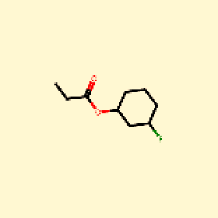 CCC(=O)OC1CCCC(F)C1